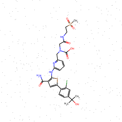 CC(C)(O)c1ccc(-c2cc(C(N)=O)c(Nc3cccc(CN(CC(=O)NCCS(C)(=O)=O)C(=O)O)n3)s2)c(F)c1